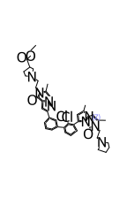 CCOC(=O)C1CCN(CCn2c(C)cn3nc(-c4cccc(-c5cccc(-c6cc(C)n(/C=C(/C)N(C=O)CCN7CCCC7)n6)c5Cl)c4Cl)cc3c2=O)C1